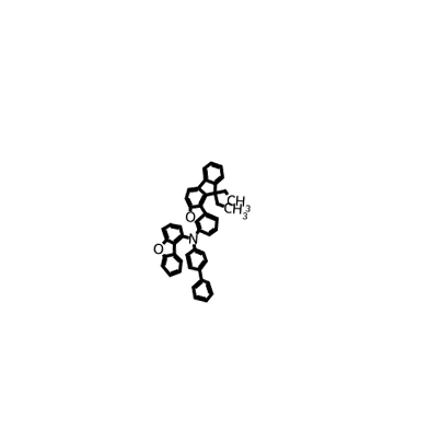 CCC1(CC)c2ccccc2-c2ccc3oc4c(N(c5ccc(-c6ccccc6)cc5)c5cccc6oc7ccccc7c56)cccc4c3c21